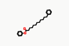 O=C(CCCCCCCCCCCc1ccccc1)Oc1ccccc1